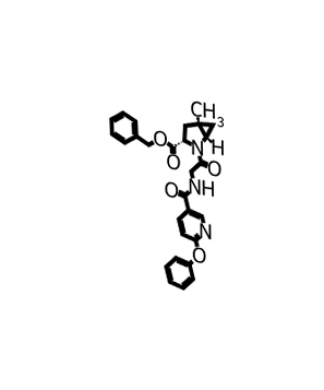 C[C@@]12C[C@@H]1N(C(=O)CNC(=O)c1ccc(Oc3ccccc3)nc1)[C@H](C(=O)OCc1ccccc1)C2